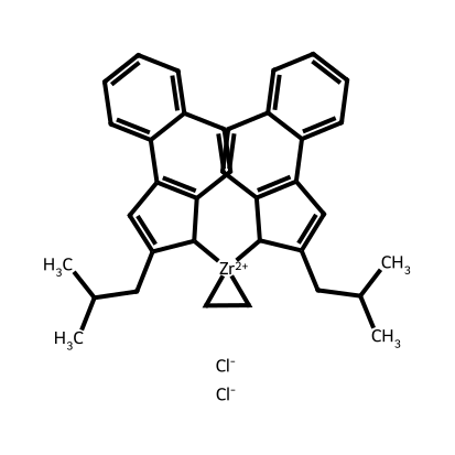 CC(C)CC1=Cc2c(ccc3ccccc23)[CH]1[Zr+2]1([CH]2C(CC(C)C)=Cc3c2ccc2ccccc32)[CH2][CH2]1.[Cl-].[Cl-]